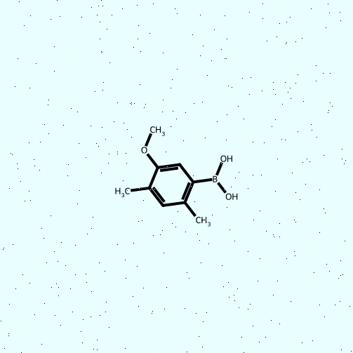 COc1cc(B(O)O)c(C)cc1C